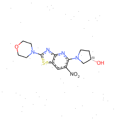 O=[N+]([O-])c1cc2sc(N3CCOCC3)nc2nc1N1CC[C@H](O)C1